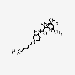 CCCCCOC1CCC(NC(=O)c2ncn3c(C)cc(C)nc23)CC1